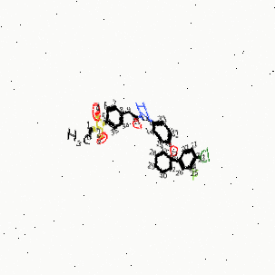 CCS(=O)(=O)c1ccc(CC(=O)Nc2ccc(OC3(c4ccc(Cl)c(F)c4)CCCCC3)cc2)cc1